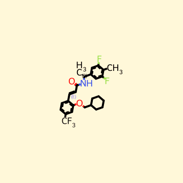 Cc1c(F)cc([C@@H](C)NC(=O)/C=C/c2ccc(C(F)(F)F)cc2OCC2CCCCC2)cc1F